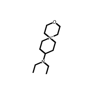 CCN(CC)C1CC[N+]2(CCOCC2)CC1